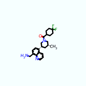 C[C@@H]1C[C@H](c2ccc(CN)c3ncccc23)CN(C(=O)C2CCC(F)(F)CC2)C1